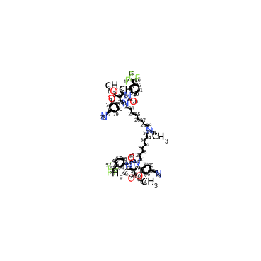 CCOC(=O)C1=C(C)N(c2cccc(C(F)(F)F)c2)C(=O)N(CCCCCCCCN(CC)CCCCCCCCN2C(=O)N(c3cccc(C(F)(F)F)c3)C(C)=C(C(=O)OCC)[C@H]2c2ccc(C#N)cc2)[C@@H]1c1ccc(C#N)cc1